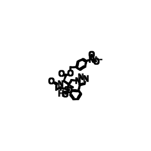 C[C@]1(Cn2nncc2-c2ccccc2)[C@H](C(=O)OCc2ccc([N+](=O)[O-])cc2)N2C(=O)C[C@H]2S1(=O)=O